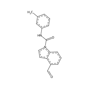 Cc1cccc(NC(=O)n2ccc3c(C=O)cccc32)c1